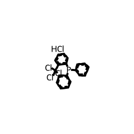 Cl.ClC(Cl)(Cl)c1ccccc1P(c1ccccc1)c1ccccc1